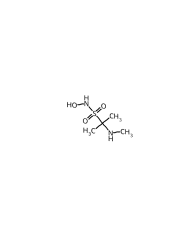 CNC(C)(C)S(=O)(=O)NO